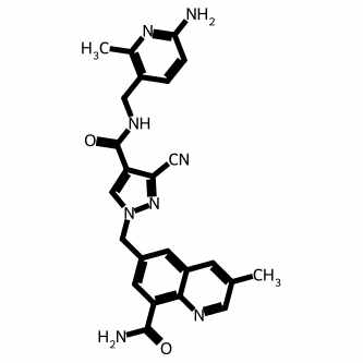 Cc1cnc2c(C(N)=O)cc(Cn3cc(C(=O)NCc4ccc(N)nc4C)c(C#N)n3)cc2c1